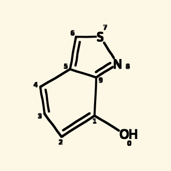 Oc1cccc2csnc12